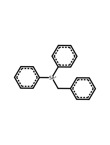 c1ccc(C[Se+](c2ccccc2)c2ccccc2)cc1